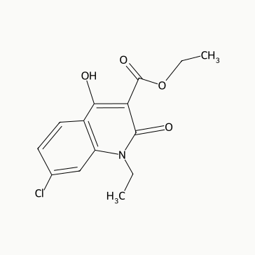 CCOC(=O)c1c(O)c2ccc(Cl)cc2n(CC)c1=O